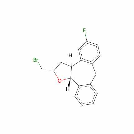 Fc1ccc2c(c1)[C@@H]1C[C@@H](CBr)O[C@H]1c1ccccc1C2